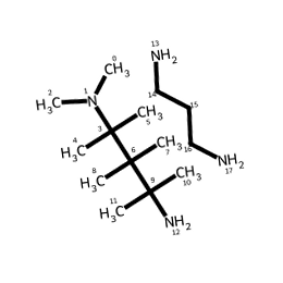 CN(C)C(C)(C)C(C)(C)C(C)(C)N.NCCCN